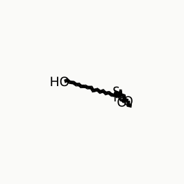 CCOC(=O)Cc1csc(CCCCCCCCCCCCCCCCO)n1